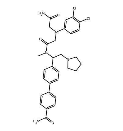 CN(C(=O)CN(CC(N)=O)c1ccc(Cl)c(Cl)c1)C(CN1CCCC1)c1ccc(-c2ccc(C(N)=O)cc2)cc1